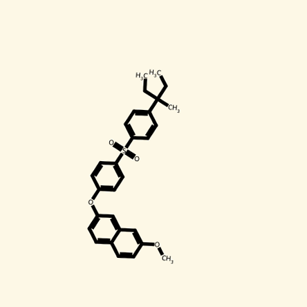 CCC(C)(CC)c1ccc(S(=O)(=O)c2ccc(Oc3ccc4ccc(OC)cc4c3)cc2)cc1